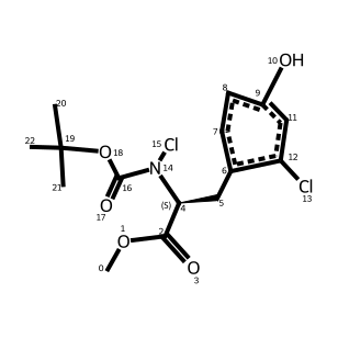 COC(=O)[C@H](Cc1ccc(O)cc1Cl)N(Cl)C(=O)OC(C)(C)C